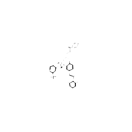 C/C(=C\c1ccc2c(c1)N(S(=O)(=O)c1cccc(C(F)(F)F)c1)C[C@H](CCC(=O)N1CCC1)O2)c1c(F)cccc1Cl